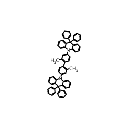 Cc1cc(N2c3ccccc3C(c3ccccc3)(c3ccccc3)c3ccccc32)ccc1-c1ccc(N2c3ccccc3C(c3ccccc3)(c3ccccc3)c3ccccc32)cc1C